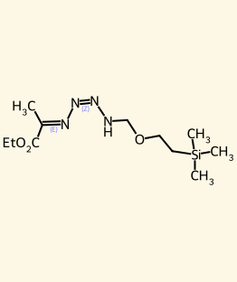 CCOC(=O)/C(C)=N/N=N\NCOCC[Si](C)(C)C